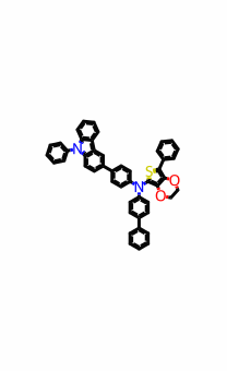 c1ccc(-c2ccc(N(c3ccc(-c4ccc5c(c4)c4ccccc4n5-c4ccccc4)cc3)c3sc(-c4ccccc4)c4c3OCCO4)cc2)cc1